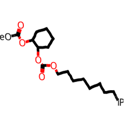 COC(=O)OC1CCCCC1OC(=O)OCCCCCCCCC(C)C